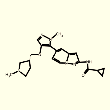 CN1CC[C@@H](COc2cnn(C)c2-c2ccn3nc(NC(=O)C4CC4)cc3c2)C1